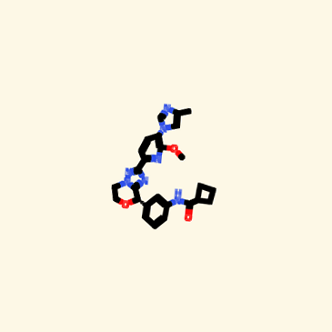 COc1nc(-c2nc3n(n2)CCO[C@H]3c2cccc(NC(=O)C3CCC3)c2)ccc1-n1cnc(C)c1